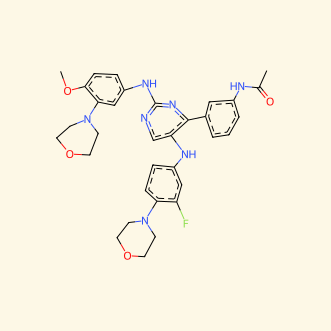 COc1ccc(Nc2ncc(Nc3ccc(N4CCOCC4)c(F)c3)c(-c3cccc(NC(C)=O)c3)n2)cc1N1CCOCC1